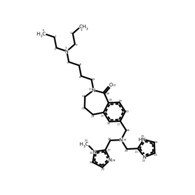 CCCN(CCC)CCCCN1CCCc2cc(CN(Cc3ncc[nH]3)Cc3nccn3C)ccc2C1=O